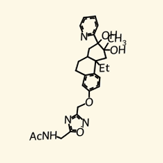 CCC12CC(C)(O)C(O)(c3ccccn3)CC1CCc1cc(OCc3noc(CNC(C)=O)n3)ccc12